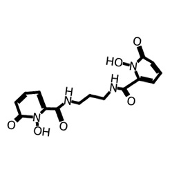 O=C(NCCCNC(=O)c1cccc(=O)n1O)c1cccc(=O)n1O